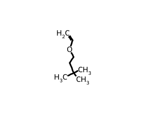 C=COCCC(C)(C)C